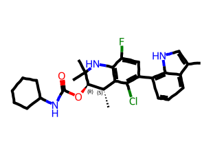 Cc1c[nH]c2c(-c3cc(F)c4c(c3Cl)[C@H](C)[C@@H](OC(=O)NC3CCCCC3)C(C)(C)N4)cccc12